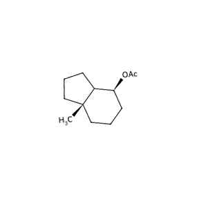 CC(=O)O[C@H]1CCC[C@]2(C)CCCC12